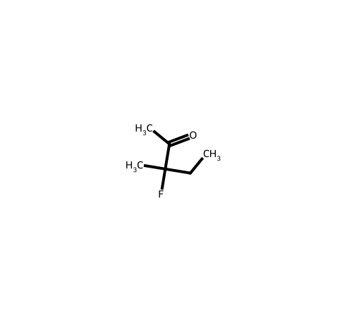 CCC(C)(F)C(C)=O